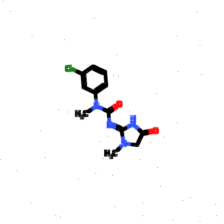 CN1CC(=O)N/C1=N\C(=O)N(C)c1cccc(Cl)c1